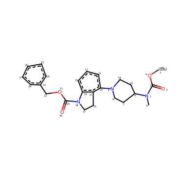 CN(C(=O)OC(C)(C)C)C1CCN(c2cccc3c2CCN3C(=O)OCc2ccccc2)CC1